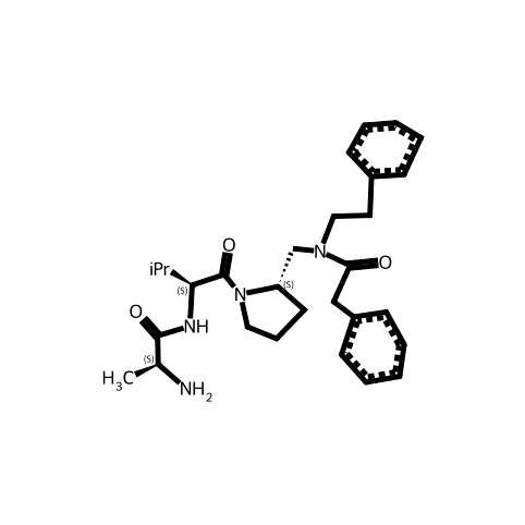 CC(C)[C@H](NC(=O)[C@H](C)N)C(=O)N1CCC[C@H]1CN(CCc1ccccc1)C(=O)Cc1ccccc1